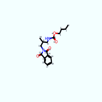 CCCCOC(=O)NCC(C)CN1C(=O)c2ccccc2C1=O